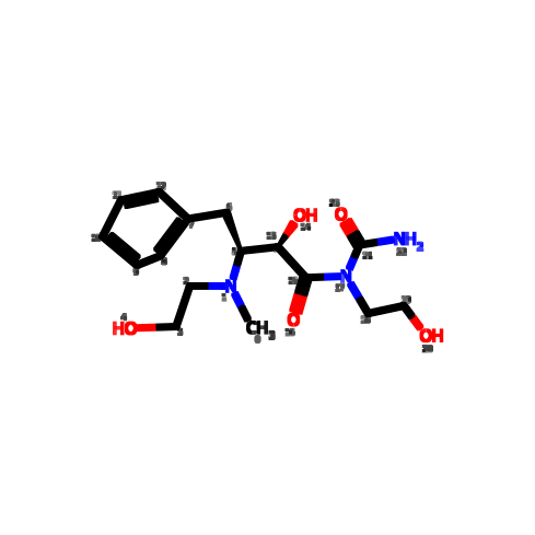 CN(CCO)[C@@H](Cc1ccccc1)[C@@H](O)C(=O)N(CCO)C(N)=O